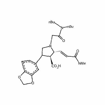 CCCCN(CCCC)C(=O)CN1CC(c2ccc3c(c2)OCO3)[C@H](C(=O)O)[C@H]1C=CC(=O)NC